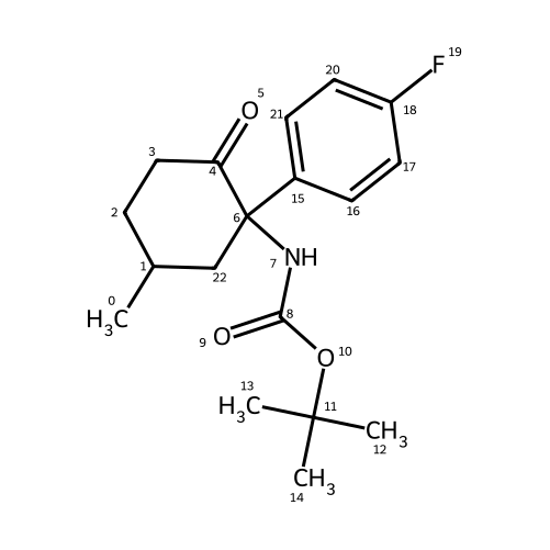 CC1CCC(=O)C(NC(=O)OC(C)(C)C)(c2ccc(F)cc2)C1